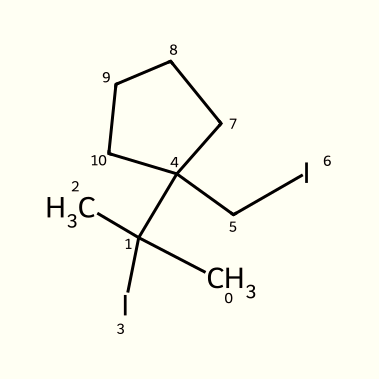 CC(C)(I)C1(CI)CCCC1